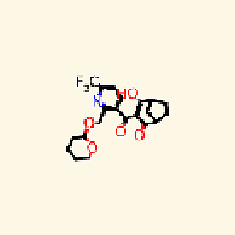 O=C(C1=C(O)C2CCC(C2)C1=O)c1ccc(C(F)(F)F)nc1COC1CCCCO1